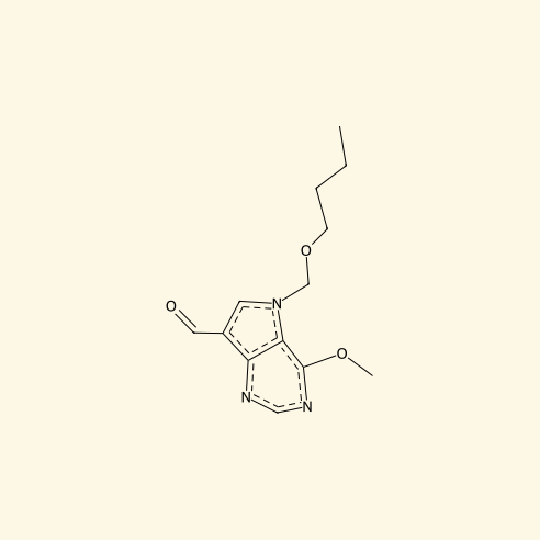 CCCCOCn1cc(C=O)c2ncnc(OC)c21